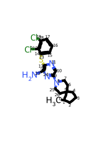 CC1CCCC12CCN(c1cnc(Sc3cccc(Cl)c3Cl)c(N)n1)CC2